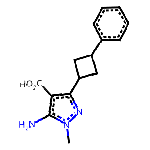 Cn1nc(C2CC(c3ccccc3)C2)c(C(=O)O)c1N